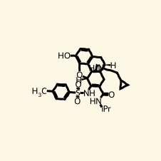 Cc1ccc(S(=O)(=O)NC2=C(C(=O)NC(C)C)C[C@@]3(O)[C@H]4Cc5ccc(O)c6c5[C@@]3(CCN4CC3CC3)[C@H]2O6)cc1